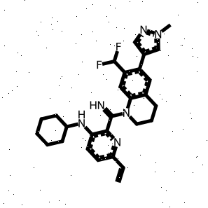 C=Cc1ccc(NC2CCCCC2)c(C(=N)N2CCCc3cc(-c4cnn(C)c4)c(C(F)F)cc32)n1